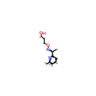 CC(=NOCCCO)c1cccc(C)n1